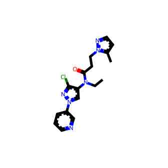 CCN(C(=O)CCn1nccc1C)c1cn(-c2cccnc2)nc1Cl